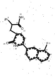 CC(C)C(Cc1ccc(-c2ccc3cccc(F)c3c2)[nH]c1=O)C(N)=O